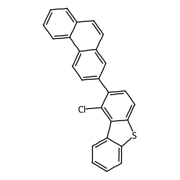 Clc1c(-c2ccc3c(ccc4ccccc43)c2)ccc2sc3ccccc3c12